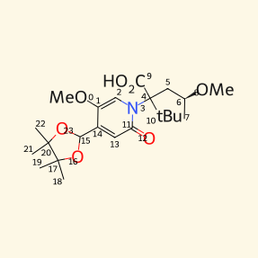 COc1cn(C(C[C@H](C)OC)(C(=O)O)C(C)(C)C)c(=O)cc1C1OC(C)(C)C(C)(C)O1